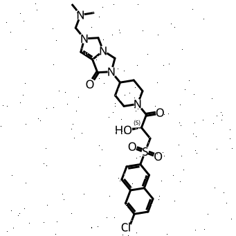 CN(C)CN1C=C2C(=O)N(C3CCN(C(=O)[C@H](O)CS(=O)(=O)c4ccc5cc(Cl)ccc5c4)CC3)CN2C1